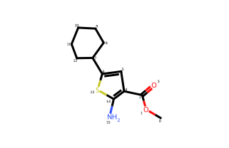 COC(=O)c1cc(C2CCCCC2)sc1N